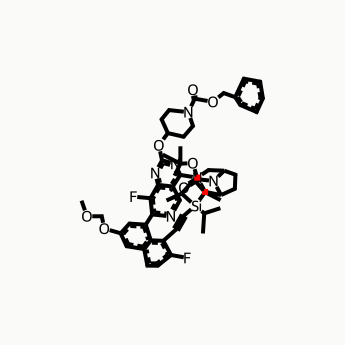 COCOc1cc(-c2ncc3c(N4CC5CCC(C4)N5C(=O)OC(C)(C)C)nc(OC4CCN(C(=O)OCc5ccccc5)CC4)nc3c2F)c2c(C#C[Si](C(C)C)(C(C)C)C(C)C)c(F)ccc2c1